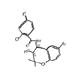 CC(=O)c1ccc2c(c1)[C@H](NC(=O)c1ccc(F)cc1Cl)[C@H](O)C(C)(C)O2